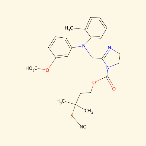 Cc1ccccc1N(CC1=NCCN1C(=O)OCCC(C)(C)SN=O)c1cccc(OC(=O)O)c1